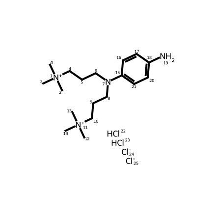 C[N+](C)(C)CCCN(CCC[N+](C)(C)C)c1ccc(N)cc1.Cl.Cl.[Cl-].[Cl-]